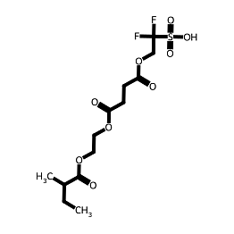 CCC(C)C(=O)OCCOC(=O)CCC(=O)OCC(F)(F)S(=O)(=O)O